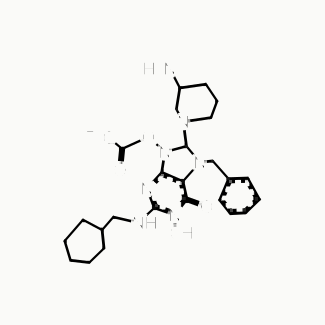 Cn1c(NCC2CCCCC2)nc2c(c1=O)N(Cc1ccccc1)C(N1CCCC(N)C1)N2OC(=O)C(F)(F)F